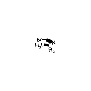 C=C.N#CBr